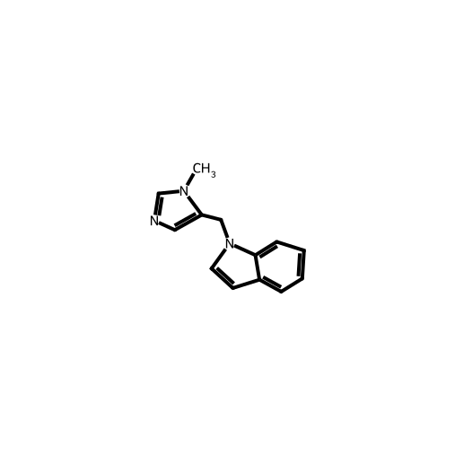 Cn1cncc1Cn1ccc2ccccc21